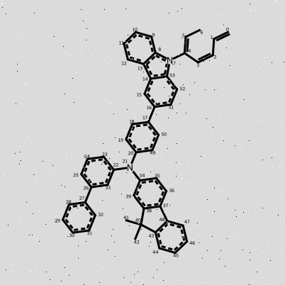 C=C/C=C\C(=C/C)n1c2ccccc2c2cc(-c3ccc(N(c4cccc(-c5ccccc5)c4)c4ccc5c(c4)C(C)(C)c4ccccc4-5)cc3)ccc21